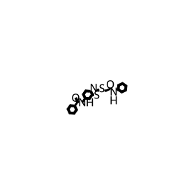 O=C(CSc1nc2ccc(NC(=O)c3ccccc3)cc2s1)Nc1ccccc1